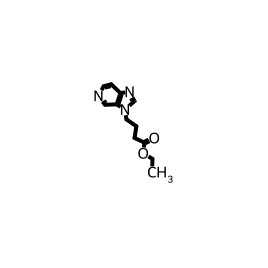 CCOC(=O)CCCn1cnc2ccncc21